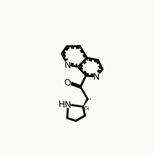 O=C([CH][C@H]1CCCN1)c1nccc2cccnc12